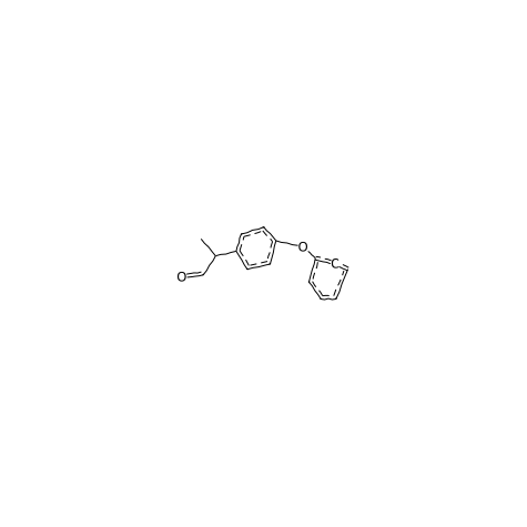 CC(C=O)c1ccc(Oc2ccccc2)cc1